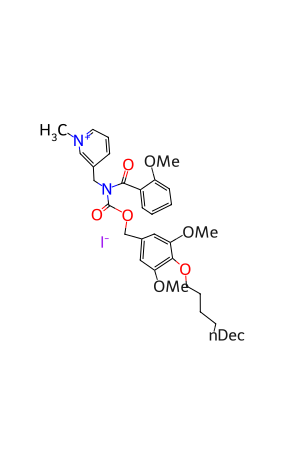 CCCCCCCCCCCCCCOc1c(OC)cc(COC(=O)N(Cc2ccc[n+](C)c2)C(=O)c2ccccc2OC)cc1OC.[I-]